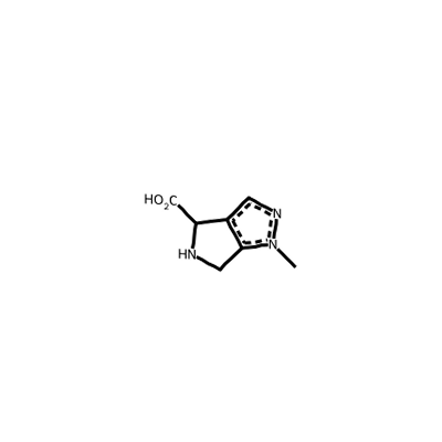 Cn1ncc2c1CNC2C(=O)O